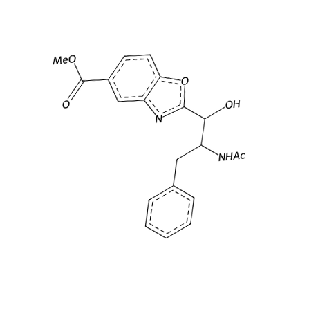 COC(=O)c1ccc2oc(C(O)C(Cc3ccccc3)NC(C)=O)nc2c1